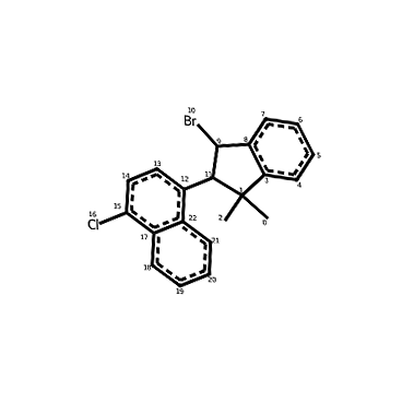 CC1(C)c2ccccc2C(Br)C1c1ccc(Cl)c2ccccc12